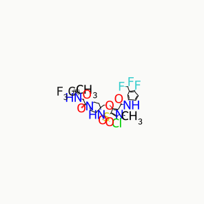 C[C@@H](NC(=O)C(=O)N1CCC2(CC1)COc1c(c(Cl)n(C)c1C(=O)Nc1ccc(F)c(C(F)F)c1)S(=O)(=O)N2)C(F)(F)F